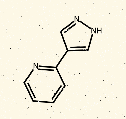 [c]1cccnc1-c1cn[nH]c1